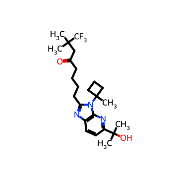 CC(C)(O)c1ccc2nc(CCCCC(=O)CC(C)(C)C(F)(F)F)n(C3(C)CCC3)c2n1